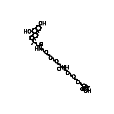 C[C@H](CCC(=O)NCCOCCOCCOCCC(=O)NCCOCCOCCOCCOP(=O)(O)C(C)(C)C)C1CCC2C3C(CC[C@@]21C)[C@@]1(C)CC[C@@H](O)CC1C[C@H]3O